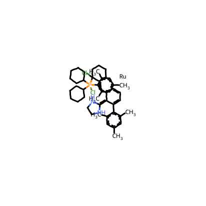 Cc1cc(C)c(C2=CC=CC(C=C3CCCCC3(Cl)P(Cl)(c3c(C)cc(C)cc3C)(C3CCCCC3)C3CCCCC3)C2=C2NCCN2)c(C)c1.[Ru]